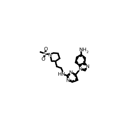 CS(=O)(=O)N1CCCC(CCNc2nccc(-n3cnc4cc(N)ccc43)n2)C1